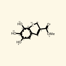 COC(=O)C1=Cc2cc(O)c(O)c(O)c2CC1